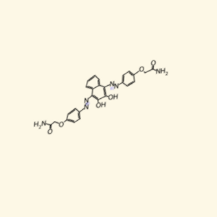 NC(=O)COc1ccc(/N=N/c2c(O)c(O)c(/N=N/c3ccc(OCC(N)=O)cc3)c3ccccc23)cc1